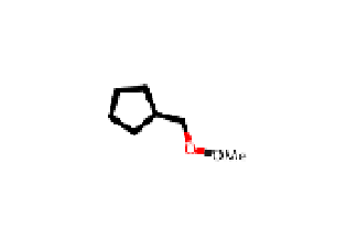 COOCC1CCCC1